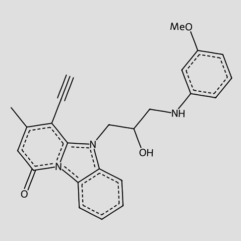 C#Cc1c(C)cc(=O)n2c3ccccc3n(CC(O)CNc3cccc(OC)c3)c12